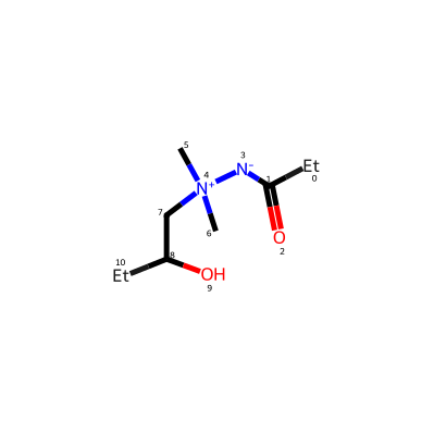 CCC(=O)[N-][N+](C)(C)CC(O)CC